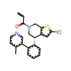 C=CC(=O)N1Cc2sc(Cl)cc2[C@H](c2ccccc2-c2cnccc2C)C1